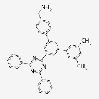 Cc1cc(C)cc(-c2cc(-c3ccc(CN)cc3)cc(-c3nc(-c4ccccc4)nc(-c4ccccc4)n3)c2)c1